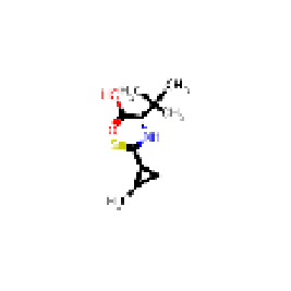 C[C@@H]1CC1C(=S)N[C@H](C(=O)O)C(C)(C)C